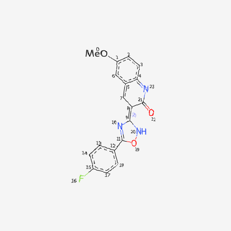 COc1ccc2c(c1)=C/C(=C1\N=C(c3ccc(F)cc3)ON1)C(=O)N=2